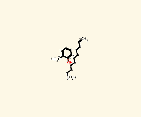 C=CCCCCCCCCC(=O)O.O=C(O)c1ccccc1O